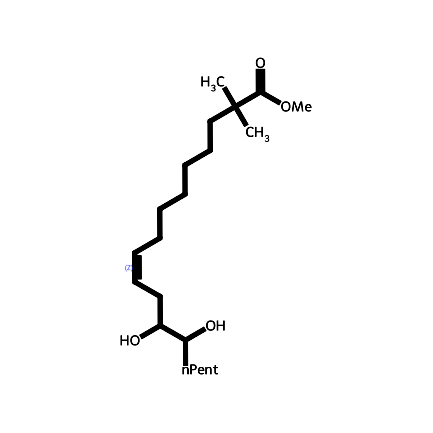 CCCCCC(O)C(O)C/C=C\CCCCCCC(C)(C)C(=O)OC